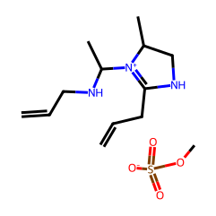 C=CCNC(C)[N+]1=C(CC=C)NCC1C.COS(=O)(=O)[O-]